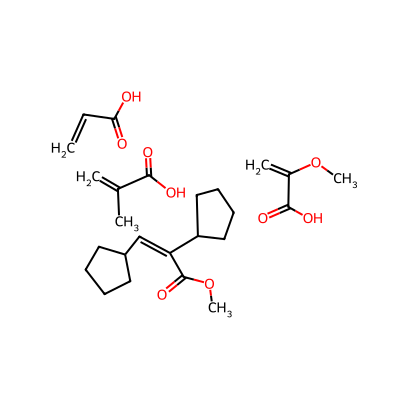 C=C(C)C(=O)O.C=C(OC)C(=O)O.C=CC(=O)O.COC(=O)C(=CC1CCCC1)C1CCCC1